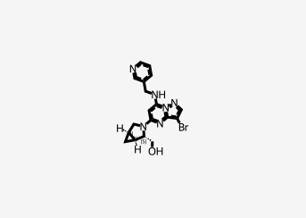 OC[C@@H]1[C@H]2C[C@H]2CN1c1cc(NCc2cccnc2)n2ncc(Br)c2n1